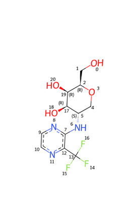 OC[C@H]1OC[C@H](Nc2nccnc2C(F)(F)F)[C@@H](O)[C@H]1O